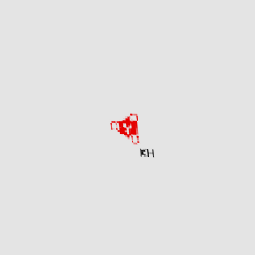 [KH].o1oo1